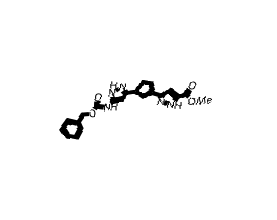 COC(=O)c1cc(C2=CC(c3cc(NC(=O)OCc4ccccc4)[nH]n3)CC2)n[nH]1